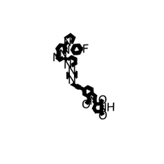 O=C1CCC(N2Cc3ccc(C#CCN4CCN(c5cccc(-c6cnc7ccc(N8CCC[C@@H]8c8cccc(F)c8)nn67)n5)CC4)cc3C2=O)C(=O)N1